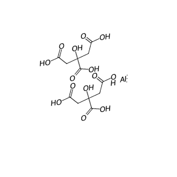 O=C(O)CC(O)(CC(=O)O)C(=O)O.O=C(O)CC(O)(CC(=O)O)C(=O)O.[Al]